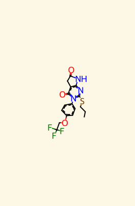 CCCSc1nc2c(c(=O)n1-c1ccc(OCC(F)(F)F)cc1)CC(=O)N2